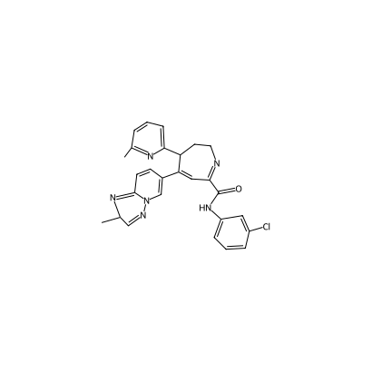 Cc1cccc(C2CCN=C(C(=O)Nc3cccc(Cl)c3)C=C2C2=CN3N=CC(C)N=C3C=C2)n1